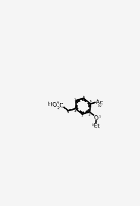 CCOc1cc(CC(=O)O)ccc1C(C)=O